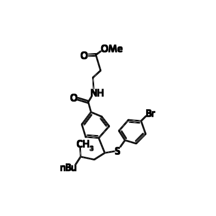 CCCCC(C)CC(Sc1ccc(Br)cc1)c1ccc(C(=O)NCCC(=O)OC)cc1